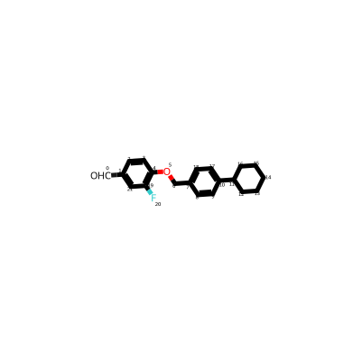 O=Cc1ccc(OCc2ccc(C3CCCCC3)cc2)c(F)c1